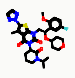 COc1ccc(F)cc1[C@H](Cn1c(=O)n(C2CCCN(C(C)C)C2=O)c(=O)c2c(C)c(-n3nccn3)sc21)OC1CCOCC1